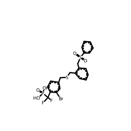 O=P(O)(O)C(F)(F)c1ccc(CSCc2ccccc2CS(=O)(=O)c2ccccc2)cc1Br